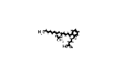 CCCCCCCC[C@@H](/C=C/C=C/c1ccccc1CCCCC(=O)O)OC(C)=O